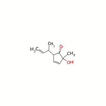 C=CC(C)C1C=CC(C)(O)C1=O